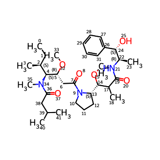 CC[C@H](C)[C@@H]([C@@H](CC(=O)N1CCC[C@H]1C(OC)C(C)C(=O)N[C@H](C)[C@@H](O)c1ccccc1)OC)N(C)C(=O)CC(C)C